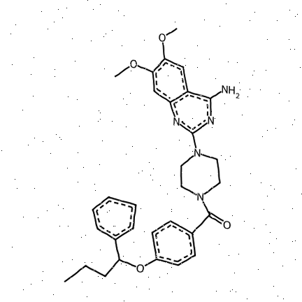 CCCC(Oc1ccc(C(=O)N2CCN(c3nc(N)c4cc(OC)c(OC)cc4n3)CC2)cc1)c1ccccc1